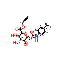 C#CCOC(=O)C1OC(OC(=O)Nc2ccc(CC)cc2)C(O)C(O)C1O